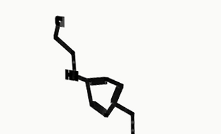 O=C(O)CCc1ccc(NCCCl)cc1